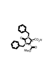 COC(=O)[C@H]1[C@H](C(=O)O)N(Cc2ccccc2)C(=O)N1Cc1ccccc1